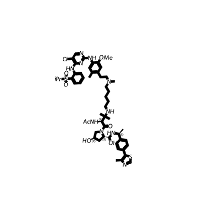 COc1cc(CCN(C)CCCCCNC(C)(C)[C@H](NC(C)=O)C(=O)N2C[C@H](O)C[C@H]2C(O)N[C@@H](C)c2ccc(-c3scnc3C)cc2)c(C)cc1Nc1ncc(Cl)c(Nc2ccccc2S(=O)(=O)C(C)C)n1